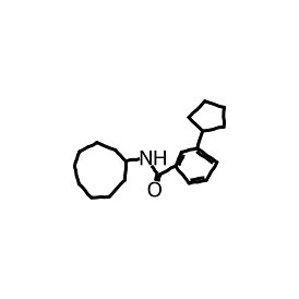 O=C(NC1CCCCCCCC1)c1cccc(C2CCCC2)c1